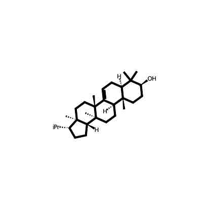 CC(C)[C@H]1CC[C@@H]2[C@]1(C)CC[C@]1(C)C3=CC[C@H]4C(C)(C)[C@@H](O)CC[C@]4(C)[C@H]3CC[C@@]21C